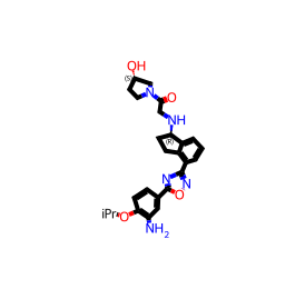 CC(C)Oc1ccc(-c2nc(-c3cccc4c3CC[C@H]4NCC(=O)N3CC[C@H](O)C3)no2)cc1N